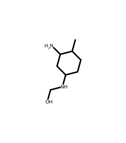 CC1CCC(NCO)CC1N